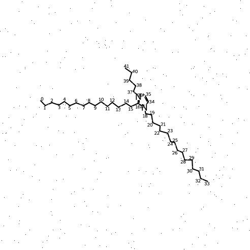 CCCCCCCCCCCCCCCCc1n(CCCCCCCCCCCCCCCC)cc[n+]1CCCCC